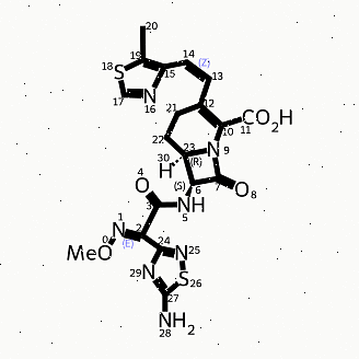 CO/N=C(/C(=O)N[C@@H]1C(=O)N2C(C(=O)O)=C(/C=C\c3ncsc3C)CC[C@H]12)c1nsc(N)n1